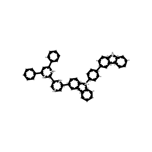 c1ccc(-c2cc(-c3ccccc3)nc(-c3cncc(-c4ccc5c(c4)c4ccccc4n5-c4ccc(-c5ccc6oc7ccccc7c6c5)cc4)n3)n2)cc1